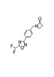 O=C1CCN1Cc1ccc(-c2noc(C(F)F)n2)cc1